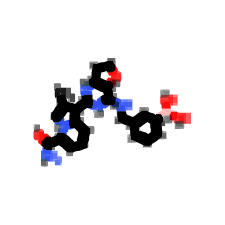 Cc1cn2c(C(N)=O)cccc2c1-c1nc2c(c(NCc3cccc(B(O)O)c3)n1)OCC2